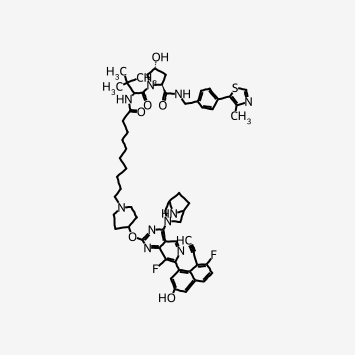 C#Cc1c(F)ccc2cc(O)cc(-c3ncc4c(N5CC6CCC(C5)N6)nc(OC5CCN(CCCCCCCCCC(=O)N[C@H](C(=O)N6C[C@H](O)C[C@H]6C(=O)NCc6ccc(-c7scnc7C)cc6)C(C)(C)C)CC5)nc4c3F)c12